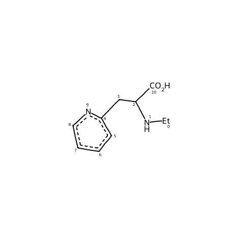 CCNC(Cc1ccccn1)C(=O)O